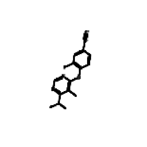 [C-]#[N+]c1ccc(Oc2ncnc(C(C)C)c2C)c(F)c1